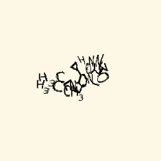 CC(C)(C)Cn1ccc2cc(N3CCOc4ncnc(N)c4C3=O)cc(C3CC3)c21